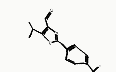 CC(C)c1oc(-c2ccc(C(F)(F)F)cc2)nc1C=O